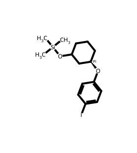 C[Si](C)(C)OC1CCC[C@@H](Oc2ccc(I)cc2)C1